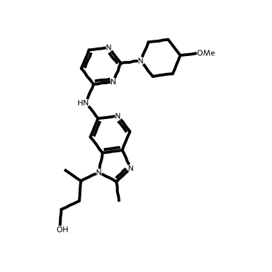 COC1CCN(c2nccc(Nc3cc4c(cn3)nc(C)n4C(C)CCO)n2)CC1